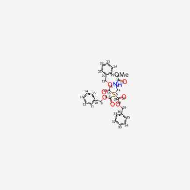 COC(=O)NCS(C(=O)OCc1ccccc1)(C(=O)OCc1ccccc1)C(=O)OCc1ccccc1